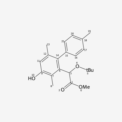 COC(=O)C(OC(C)(C)C)c1c(C)c(O)cc(C)c1-c1ccc(C)cc1